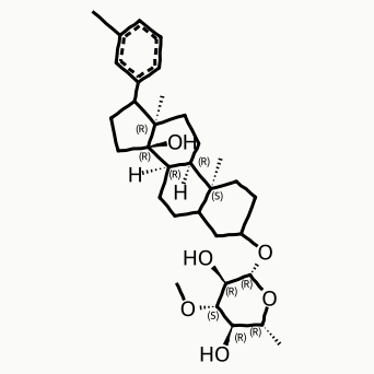 CO[C@@H]1[C@@H](O)[C@H](OC2CC[C@@]3(C)C(CC[C@@H]4[C@H]3CC[C@]3(C)C(c5cccc(C)c5)CC[C@@]43O)C2)O[C@H](C)[C@H]1O